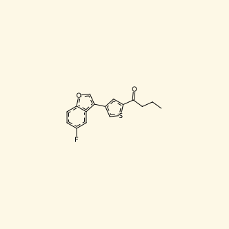 CCCC(=O)c1cc(-c2coc3ccc(F)cc23)cs1